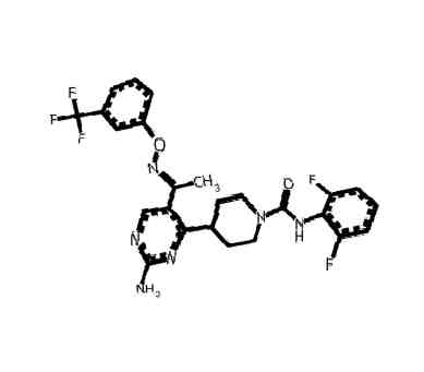 C/C(=N\Oc1cccc(C(F)(F)F)c1)c1cnc(N)nc1C1CCN(C(=O)Nc2c(F)cccc2F)CC1